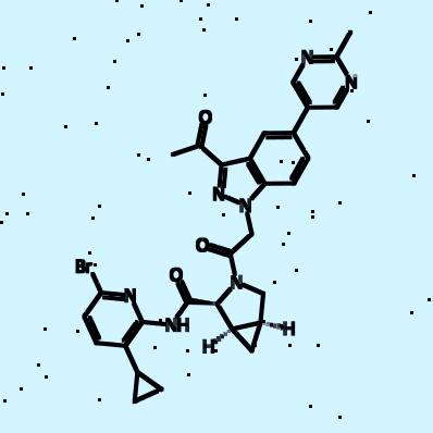 CC(=O)c1nn(CC(=O)N2C[C@H]3C[C@H]3[C@H]2C(=O)Nc2nc(Br)ccc2C2CC2)c2ccc(-c3cnc(C)nc3)cc12